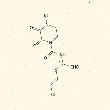 CCN1CCN(C(=O)NC([C]=O)SC=CCl)C(=O)C1=O